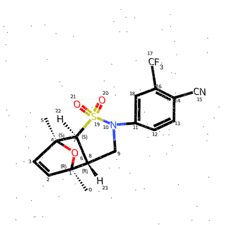 C[C@]12C=C[C@](C)(O1)[C@@H]1[C@@H]2CN(c2ccc(C#N)c(C(F)(F)F)c2)S1(=O)=O